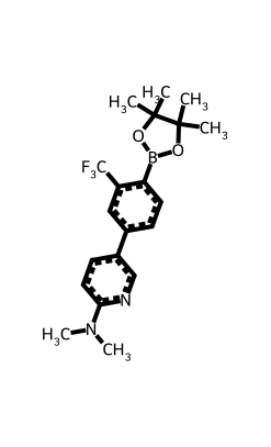 CN(C)c1ccc(-c2ccc(B3OC(C)(C)C(C)(C)O3)c(C(F)(F)F)c2)cn1